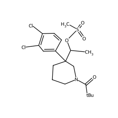 CC(OS(C)(=O)=O)C1(c2ccc(Cl)c(Cl)c2)CCCN(C(=O)C(C)(C)C)C1